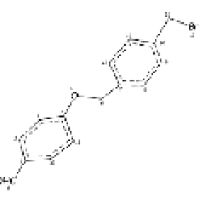 O=Cc1ccc(OCc2ccc(CBr)cc2)cc1